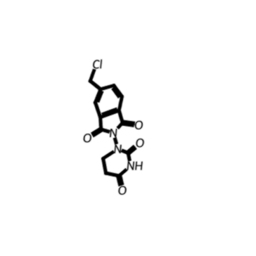 O=C1CCN(N2C(=O)c3ccc(CCl)cc3C2=O)C(=O)N1